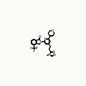 Cn1cnnc1CCc1cc(C2=CCOCC2)nc(N2Cc3c(cccc3C(F)(F)F)C2=O)c1